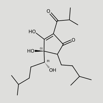 CC(C)CCC1C(=O)C(C(=O)C(C)C)=C(O)[C@@]1(O)[C@H](O)CCC(C)C